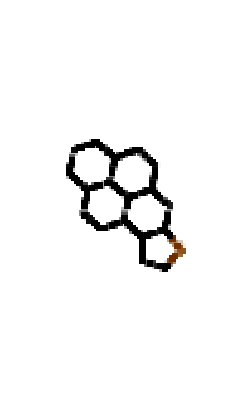 C1CC2CCC3CC4SCCC4C4CCC(C1)C2C34